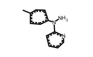 Cc1ccc(N(N)c2ccccn2)cc1